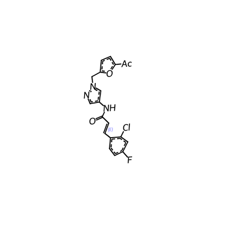 CC(=O)c1ccc(Cn2cc(NC(=O)/C=C/c3ccc(F)cc3Cl)cn2)o1